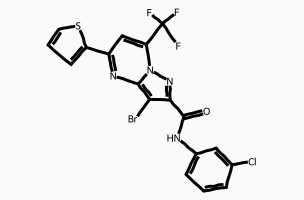 O=C(Nc1cccc(Cl)c1)c1nn2c(C(F)(F)F)cc(-c3cccs3)nc2c1Br